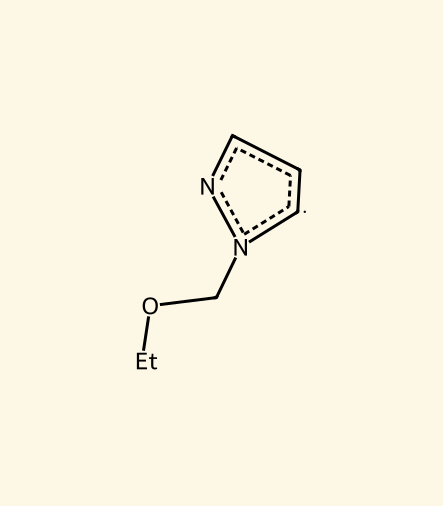 CCOCn1[c]ccn1